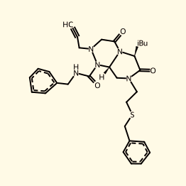 C#CCN1CC(=O)N2[C@@H](C(C)CC)C(=O)N(CCSCc3ccccc3)C[C@@H]2N1C(=O)NCc1ccccc1